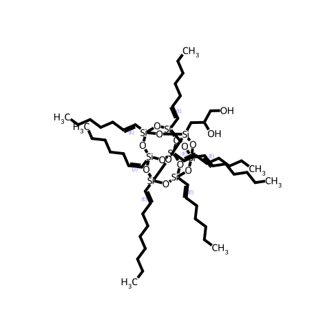 CCCCC/C=C\[Si]12O[Si]3(/C=C/CCCCC)O[Si]4(/C=C/CCCCC)O[Si](/C=C/CCCCC)(O1)O[Si]1(CC(O)CO)O[Si](/C=C/CCCCCCC)(O2)O[Si](/C=C/CCCCC)(O3)O[Si](/C=C/CCCCC)(O4)O1